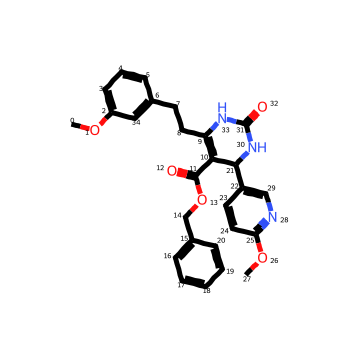 COc1cccc(CCC2=C(C(=O)OCc3ccccc3)C(c3ccc(OC)nc3)NC(=O)N2)c1